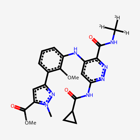 [2H]C([2H])([2H])NC(=O)c1nnc(NC(=O)C2CC2)cc1Nc1cccc(-c2cc(C(=O)OC)n(C)n2)c1OC